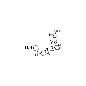 Cc1c(-c2cc3ccnc(OCC4CNC(O)C4)c3n2CC2CC2)nn2cc(C(=O)N3CCC[C@@H](N)C3)ccc12